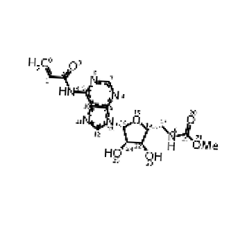 C=CC(=O)Nc1ncnc2c1ncn2[C@@H]1O[C@H](CNC(=O)OC)[C@@H](O)[C@H]1O